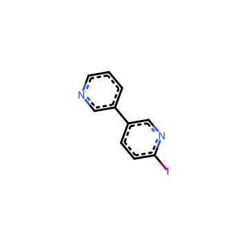 Ic1ccc(-c2cccnc2)cn1